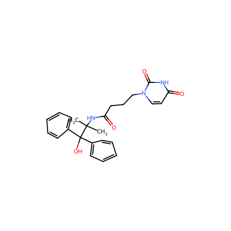 CC(C)(NC(=O)CCCn1ccc(=O)[nH]c1=O)C(O)(c1ccccc1)c1ccccc1